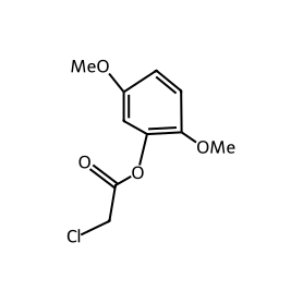 COc1ccc(OC)c(OC(=O)CCl)c1